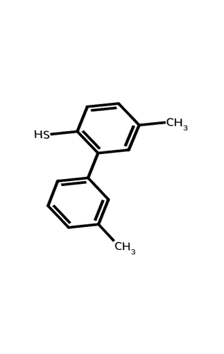 Cc1cccc(-c2cc(C)ccc2S)c1